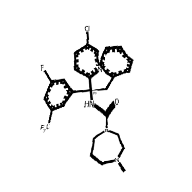 CN1CCCN(C(=O)N[C@](Cc2ccccc2)(c2cc(F)cc(C(F)(F)F)c2)c2ccc(Cl)cn2)CC1